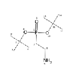 CC(C)(C)OP(=O)(CCN)OC(C)(C)C